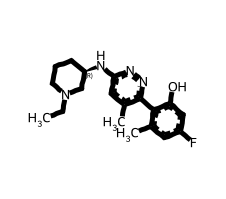 CCN1CCC[C@@H](Nc2cc(C)c(-c3c(C)cc(F)cc3O)nn2)C1